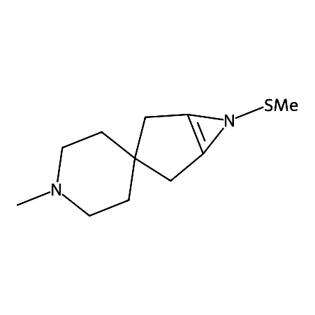 CSN1C2=C1CC1(CCN(C)CC1)C2